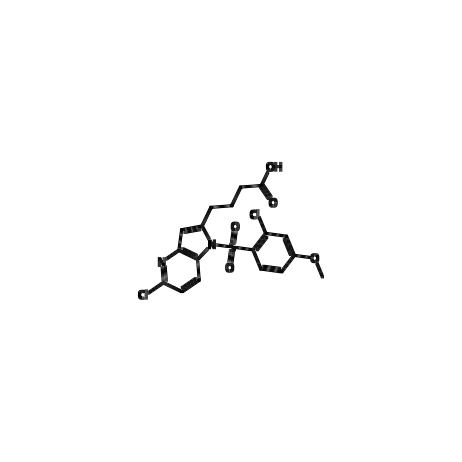 COc1ccc(S(=O)(=O)n2c(CCCC(=O)O)cc3nc(Cl)ccc32)c(Cl)c1